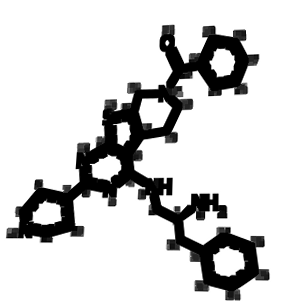 N[C@H](CNc1nc(-c2ccncc2)nc2sc3c(c12)CCN(C(=O)c1ccccc1)C3)Cc1ccccc1